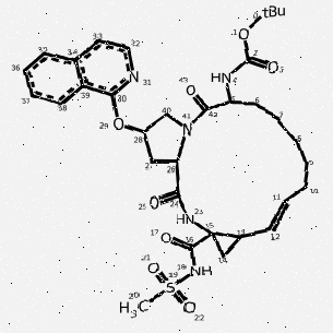 CC(C)(C)OC(=O)NC1CCCCC/C=C/C2CC2(C(=O)NS(C)(=O)=O)NC(=O)C2CC(Oc3nccc4ccccc34)CN2C1=O